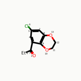 CCC(=O)c1cc(Cl)cc2c1OCCO2